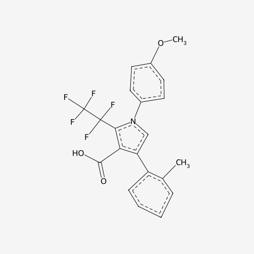 COc1ccc(-n2cc(-c3ccccc3C)c(C(=O)O)c2C(F)(F)C(F)(F)F)cc1